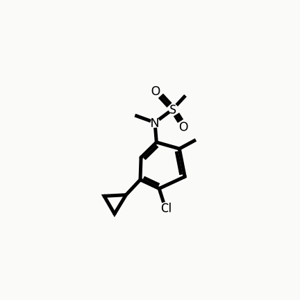 Cc1cc(Cl)c(C2CC2)cc1N(C)S(C)(=O)=O